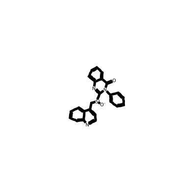 O=c1c2ccccc2nc([S+]([O-])Cc2ccnc3ccccc23)n1-c1ccccc1